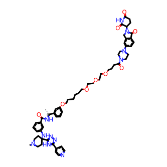 C[C@@H](NC(=O)c1cccc(NC2(c3nnc(-c4ccncc4)[nH]3)CCN(C)CC2)c1)c1cccc(OCCCCCCOCCOCCOCCCC(=O)N2CCN(c3ccc4c(c3)CN(C3CCC(=O)NC3=O)C4=O)CC2)c1